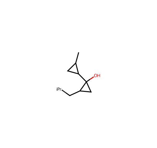 CC(C)CC1CC1(O)C1CC1C